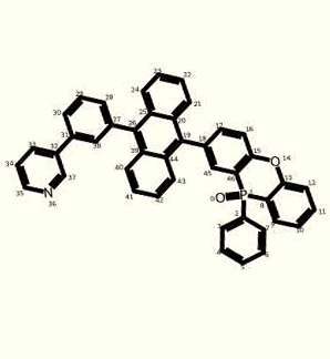 O=P1(c2ccccc2)c2ccccc2Oc2ccc(-c3c4ccccc4c(-c4cccc(-c5cccnc5)c4)c4ccccc34)cc21